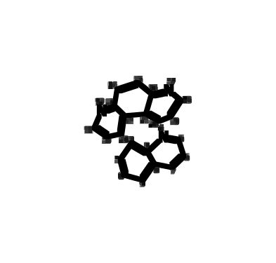 c1ccc2ncccc2c1.c1cnc2ccc3ncccc3c2c1